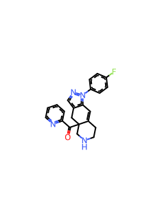 O=C(c1ccccn1)C12CNCCC1=Cc1c(cnn1-c1ccc(F)cc1)C2